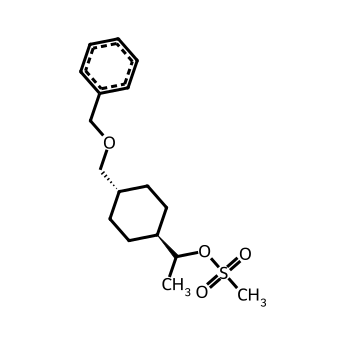 CC(OS(C)(=O)=O)[C@H]1CC[C@H](COCc2ccccc2)CC1